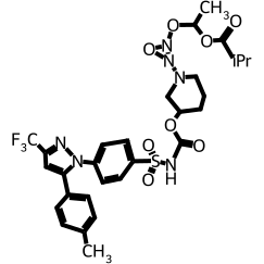 Cc1ccc(-c2cc(C(F)(F)F)nn2-c2ccc(S(=O)(=O)NC(=O)OC3CCCN(n4on4OC(C)OC(=O)C(C)C)C3)cc2)cc1